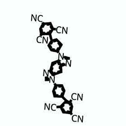 N#Cc1cc(C#N)c(-c2ccc(-n3cnc4cc5c(cc43)ncn5-c3ccc(-c4c(C#N)cc(C#N)cc4C#N)cc3)cc2)c(C#N)c1